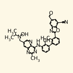 Cc1nc(Nc2cccc(-c3cccc(-c4nc5cc(C=O)cc(C#N)c5o4)c3C)c2C)c2ncc(CN(O)C(C)C)cc2n1